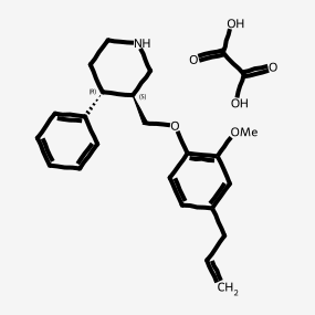 C=CCc1ccc(OC[C@@H]2CNCC[C@H]2c2ccccc2)c(OC)c1.O=C(O)C(=O)O